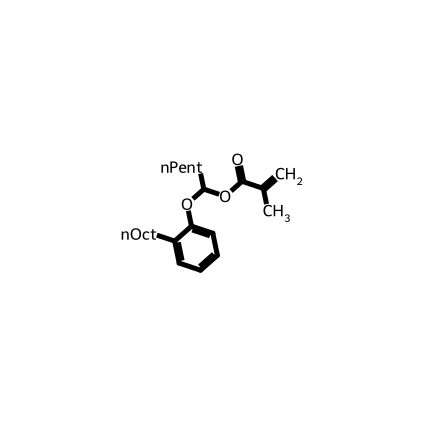 C=C(C)C(=O)OC(CCCCC)Oc1ccccc1CCCCCCCC